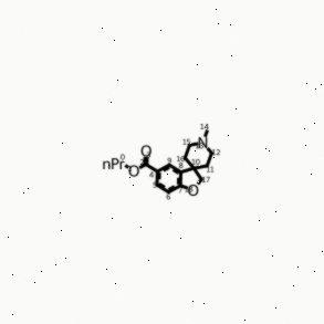 CCCOC(=O)c1ccc2c(c1)C1(CCN(C)CC1)CO2